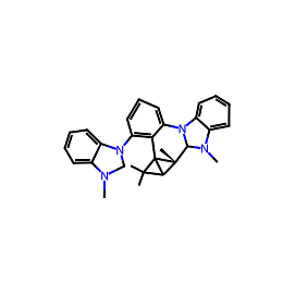 CN1CN(c2cccc3c2C24C(C2(C)C)[C@@]4(C)C2N(C)c4ccccc4N32)c2ccccc21